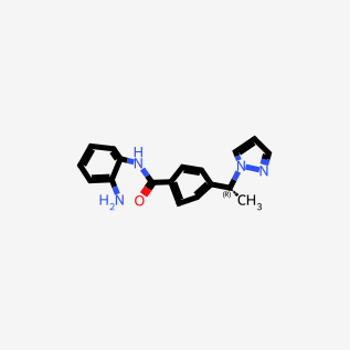 C[C@H](c1ccc(C(=O)Nc2ccccc2N)cc1)n1cccn1